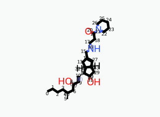 CCCC[C@H](C)C[C@H](O)/C=C/[C@@H]1[C@H]2CC(CNCCC(=O)N3CCCCC3)=C[C@H]2C[C@H]1O